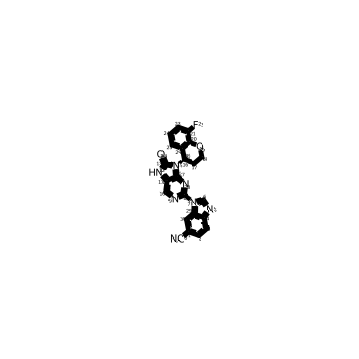 N#Cc1ccc2ncn(-c3ncc4[nH]c(=O)n([C@@H]5CCOc6c(F)cccc65)c4n3)c2c1